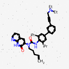 C=CCCCN(C(=O)Nc1c(C(C)C)cc(-c2cccc(C#CCN(CC)CC)c2)cc1C(C)C)c1cc2cccnc2[nH]c1=O